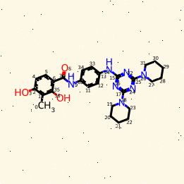 Cc1c(O)ccc(C(=O)Nc2ccc(Nc3nc(N4CCCCC4)nc(N4CCCCC4)n3)cc2)c1O